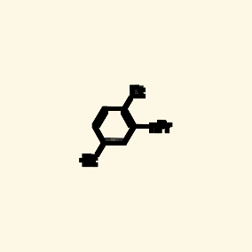 C[CH]c1ccc(CC)c(CCC)c1